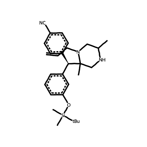 C=CCN1CC(C)NCC1(C)[C@H](c1ccc(C#N)cc1)c1cccc(O[Si](C)(C)C(C)(C)C)c1